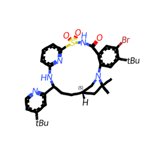 CC(C)(C)c1ccnc(C2CC[C@@H]3CN(c4cc(C(C)(C)C)c(Br)cc4C(=O)NS(=O)(=O)c4cccc(n4)N2)C(C)(C)C3)c1